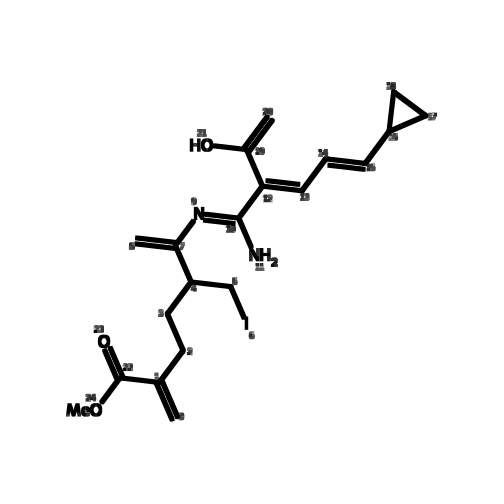 C=C(CCC(CI)C(=C)/N=C(N)/C(=C/C=C/C1CC1)C(=C)O)C(=O)OC